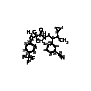 CC(C1CC1)C(CNC(=O)C(C)(C)Oc1ccc(C(F)(F)F)cn1)c1cccc(C#N)c1